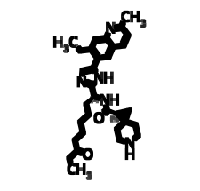 CCC(=O)CCCCC[C@H](NC(=O)[C@H]1CC12CCNCC2)c1ncc(-c2cc3ccc(C)nc3cc2CC)[nH]1